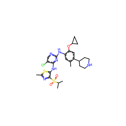 Cc1nc(S(=O)(=O)C(C)C)c(Nc2nc(Nc3cc(C)c(C4CCNCC4)cc3OC3CC3)ncc2Cl)s1